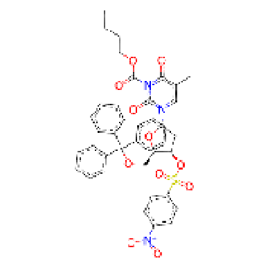 CCCCOC(=O)n1c(=O)c(C)cn([C@@H]2C[C@@H](OS(=O)(=O)c3ccc([N+](=O)[O-])cc3)[C@@H](COC(c3ccccc3)(c3ccccc3)c3ccccc3)O2)c1=O